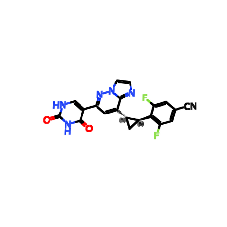 N#Cc1cc(F)c([C@H]2C[C@@H]2c2cc(-c3c[nH]c(=O)[nH]c3=O)nn3ccnc23)c(F)c1